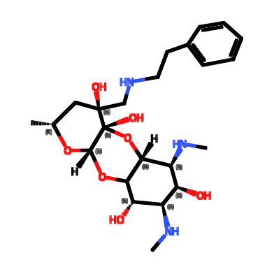 CN[C@@H]1[C@H](O)[C@H](NC)[C@H]2O[C@]3(O)[C@H](OC2[C@H]1O)O[C@H](C)C[C@]3(O)CNCCc1ccccc1